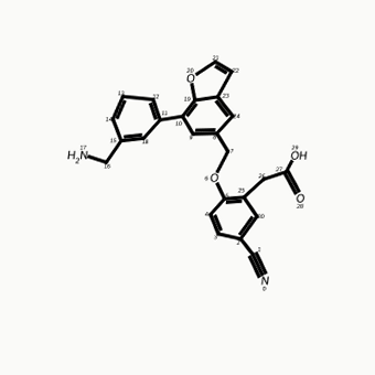 N#Cc1ccc(OCc2cc(-c3cccc(CN)c3)c3occc3c2)c(CC(=O)O)c1